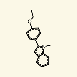 CCOc1ccc(-c2cc3ccccc3n2C)cc1